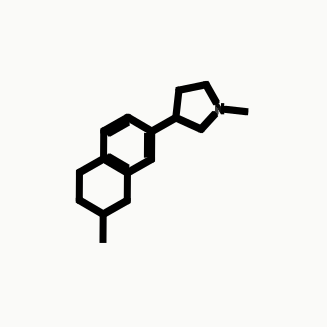 CC1CCc2ccc(C3CCN(C)C3)cc2C1